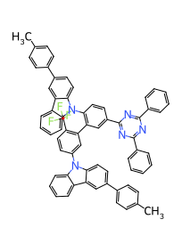 Cc1ccc(-c2ccc3c(c2)c2ccccc2n3-c2ccc(C(F)(F)F)c(-c3cc(-c4nc(-c5ccccc5)nc(-c5ccccc5)n4)ccc3-n3c4ccccc4c4cc(-c5ccc(C)cc5)ccc43)c2)cc1